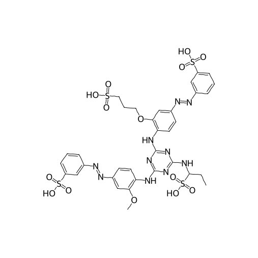 CCC(Nc1nc(Nc2ccc(N=Nc3cccc(S(=O)(=O)O)c3)cc2OC)nc(Nc2ccc(N=Nc3cccc(S(=O)(=O)O)c3)cc2OCCCS(=O)(=O)O)n1)S(=O)(=O)O